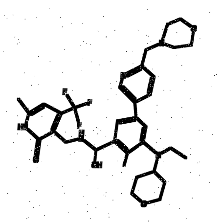 CCN(c1cc(-c2ccc(CN3CCOCC3)nc2)cc(C(O)NCc2c(C(F)(F)F)cc(C)[nH]c2=O)c1C)C1CCOCC1